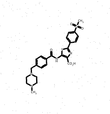 CN1CCN(Cc2ccc(C(=O)Nc3sc(-c4ccc(S(C)(=O)=O)cc4)nc3C(=O)O)cc2)CC1